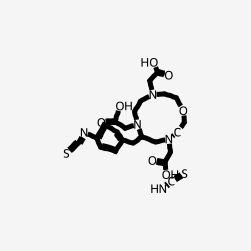 N=C=S.O=C(O)CN1CCOCCN(CC(=O)O)CC(Cc2ccc(N=C=S)cc2)N(CC(=O)O)CC1